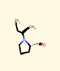 C=C(CC)N1CCC[C@H]1C=O